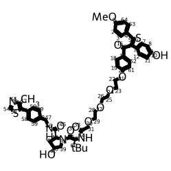 COc1ccc(-c2sc3cc(O)ccc3c2C(=O)c2ccc(OCCOCCOCCOCC(=O)N[C@H](C(=O)N3C[C@H](O)C[C@H]3C(=O)NCc3ccc(-c4scnc4C)cc3)C(C)(C)C)cc2)cc1